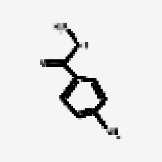 BNC(=O)c1ccc(N)cc1